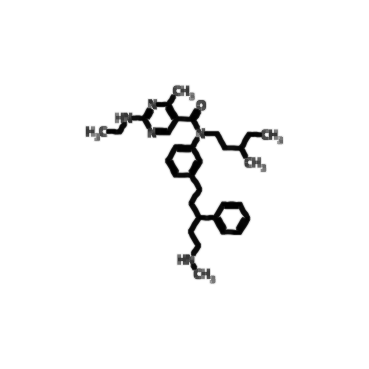 CCNc1ncc(C(=O)N(CCC(C)CC)c2cccc(CCC(CCNC)c3ccccc3)c2)c(C)n1